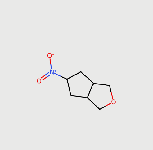 O=[N+]([O-])C1C[C]2COCC2C1